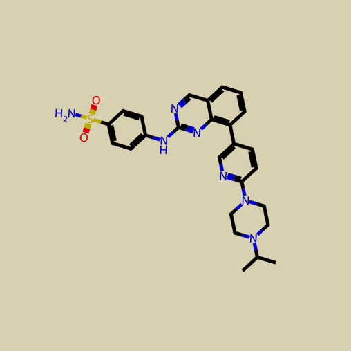 CC(C)N1CCN(c2ccc(-c3cccc4cnc(Nc5ccc(S(N)(=O)=O)cc5)nc34)cn2)CC1